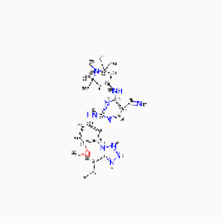 CCCc1nnnn1-c1cc(Nc2ncc(C#N)c(NC3CC(C)(C)N(C)C(C)(C)C3)n2)ccc1OC